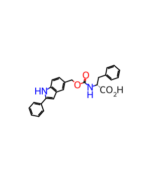 O=C(N[C@H](Cc1ccccc1)C(=O)O)OCc1ccc2[nH]c(-c3ccccc3)cc2c1